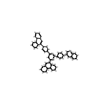 C1=CC2C=C(C3C=CC(c4cc(-c5cc6ccccc6c6ccccc56)nc(-c5ccc(-c6cnc7ccccc7c6)cc5)n4)=CC3)c3ccccc3C2C=C1